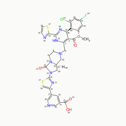 COC(=O)C1=C(CN2CCN3C(=O)N(c4nc(-c5cncc(C(=O)O)c5)cs4)C[C@@H]3C2)NC(c2nccs2)=N[C@H]1c1ccc(F)cc1Cl